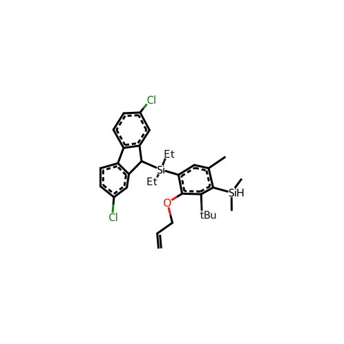 C=CCOc1c([Si](CC)(CC)C2c3cc(Cl)ccc3-c3ccc(Cl)cc32)cc(C)c([SiH](C)C)c1C(C)(C)C